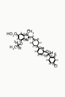 [2H]C([2H])(C)Oc1cc(C(=O)O)cc2c1nc(CN1CCC(c3cccc(OC([2H])([2H])c4ccc(Cl)cc4F)n3)CC1)n2C